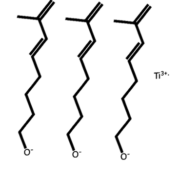 C=C(C)C=CCCCC[O-].C=C(C)C=CCCCC[O-].C=C(C)C=CCCCC[O-].[Ti+3]